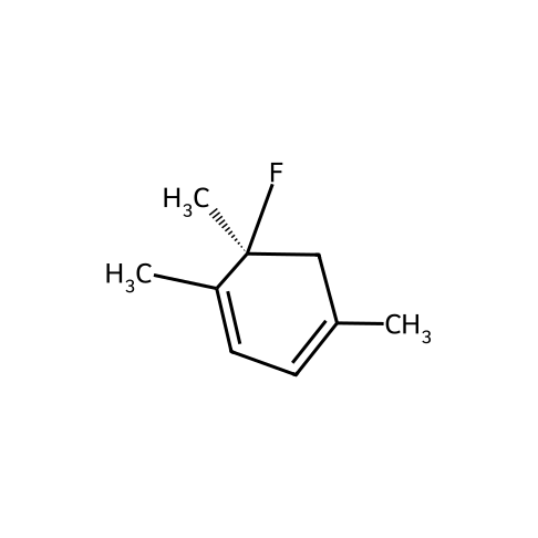 CC1=CC=C(C)[C@@](C)(F)C1